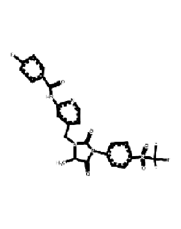 CC1C(=O)N(c2ccc(S(=O)(=O)C(F)(F)F)cc2)C(=O)N1Cc1ccnc(NC(=O)c2ccc(F)cc2)c1